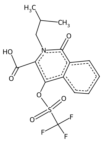 CC(C)Cn1c(C(=O)O)c(OS(=O)(=O)C(F)(F)F)c2ccccc2c1=O